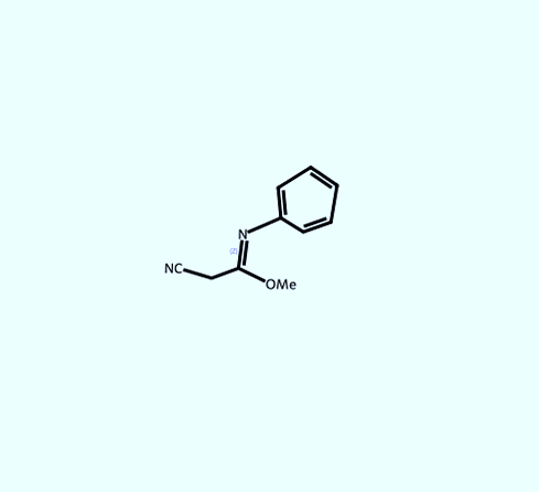 CO/C(CC#N)=N\c1ccccc1